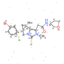 Cn1c(CC(=O)N[C@@H]2CCOC2)c2n(c1=S)C[C@@]1(c3cc(Br)ccc3F)C[C@@H]21